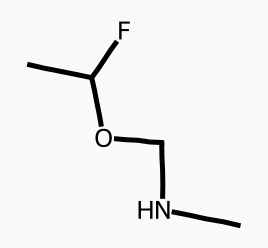 CNCOC(C)F